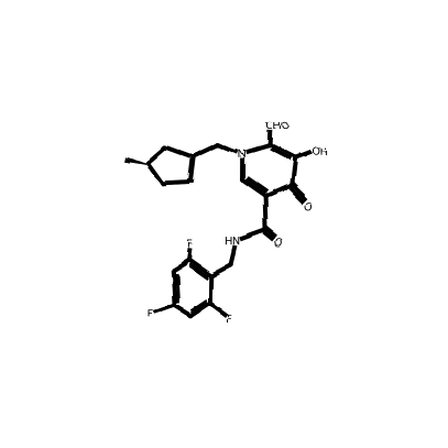 C[C@@H]1CCC(Cn2cc(C(=O)NCc3c(F)cc(F)cc3F)c(=O)c(O)c2C=O)C1